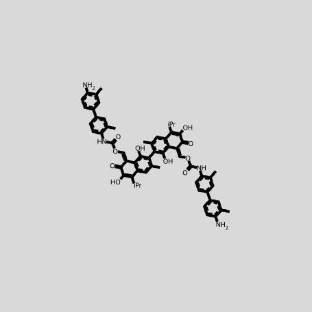 Cc1cc(-c2ccc(NC(=O)O/C=C3\C(=O)C(O)=C(C(C)C)c4cc(C)c(-c5c(C)cc6c(c5O)/C(=C/OC(=O)Nc5ccc(-c7ccc(N)c(C)c7)cc5C)C(=O)C(O)=C6C(C)C)c(O)c43)c(C)c2)ccc1N